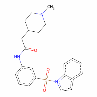 CN1CCC(CC(=O)Nc2cccc(S(=O)(=O)n3ccc4ccccc43)c2)CC1